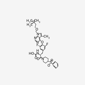 Cc1cn(COCC[Si](C)(C)C)c2ncnc(Oc3c(F)cc(C[C@H](NC(=O)O)C(=O)N4CCC(S(=O)(=O)c5ccccc5)CC4)cc3F)c12